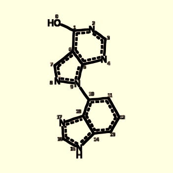 Oc1ncnc2c1cnn2-c1cccc2[nH]cnc12